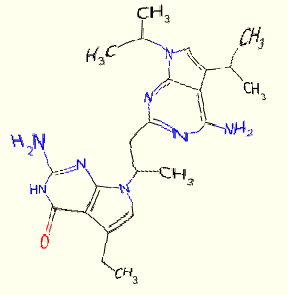 CCc1cn(C(C)Cc2nc(N)c3c(C(C)C)cn(C(C)C)c3n2)c2nc(N)[nH]c(=O)c12